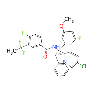 COc1cc(F)cc([C@](Cc2ccccc2)(NC(=O)c2ccc(F)c(C(C)(F)F)c2)c2ccc(Cl)cn2)c1